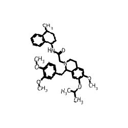 COc1ccc(CC2c3cc(OC(C)C)c(OC)cc3CCN2CC(=O)NC2CCC(C)c3ccccc32)cc1OC